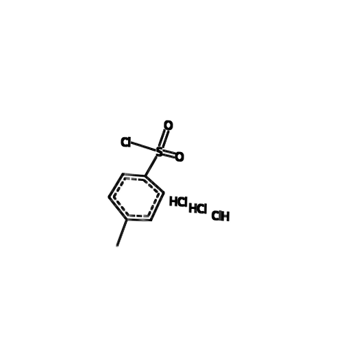 Cc1ccc(S(=O)(=O)Cl)cc1.Cl.Cl.Cl